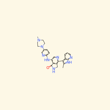 Cc1[nH]c2ncccc2c1-c1ncc(Nc2ccc(N3CCN(C)CC3)cn2)c2c1CNC2=O